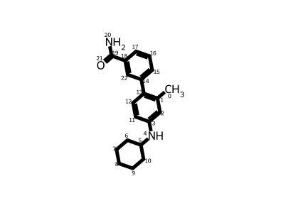 Cc1cc(NC2CCCCC2)ccc1-c1cccc(C(N)=O)c1